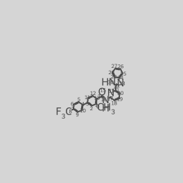 Cc1cc(-c2ccc(C(F)(F)F)cc2)ccc1C(=O)Nc1cccc(-c2nc3ccccc3[nH]2)n1